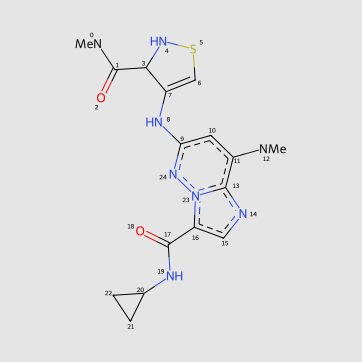 CNC(=O)C1NSC=C1Nc1cc(NC)c2ncc(C(=O)NC3CC3)n2n1